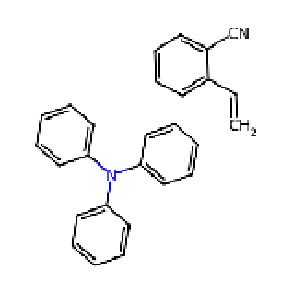 C=Cc1ccccc1C#N.c1ccc(N(c2ccccc2)c2ccccc2)cc1